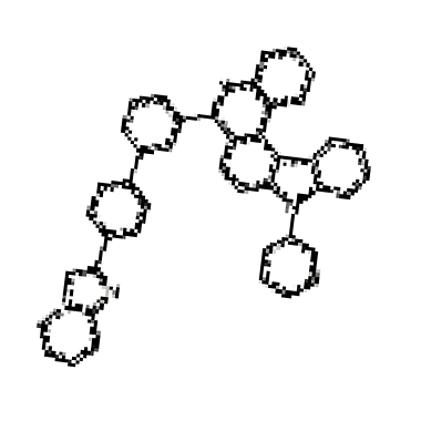 c1ccc(-n2c3ccccc3c3c4c(ccc32)c(-c2cccc(-c3ccc(-c5cn6ccccc6n5)cc3)c2)nc2ccccc24)cc1